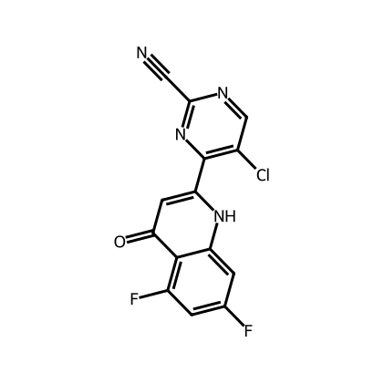 N#Cc1ncc(Cl)c(-c2cc(=O)c3c(F)cc(F)cc3[nH]2)n1